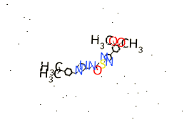 COc1ccc(-c2cnc(SCC(=O)NCC3CCCN(Cc4ccc(C(C)C)cc4)C3)nc2)cc1OC